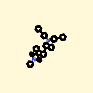 c1ccc(-c2ccc(N(c3ccc(-c4ccccc4)cc3)c3ccc(-c4cccc5c4-c4ccccc4C54c5ccccc5N(c5ccccc5)c5ccccc54)c4ccccc34)cc2)cc1